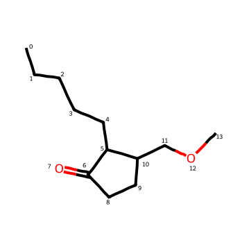 CCCCCC1C(=O)CCC1COC